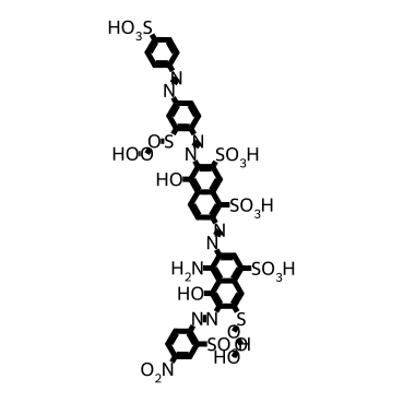 Nc1c(N=Nc2ccc3c(O)c(N=Nc4ccc(N=Nc5ccc(S(=O)(=O)O)cc5)cc4SOOO)c(S(=O)(=O)O)cc3c2S(=O)(=O)O)cc(S(=O)(=O)O)c2cc(SOOO)c(N=Nc3ccc([N+](=O)[O-])cc3S(=O)(=O)O)c(O)c12